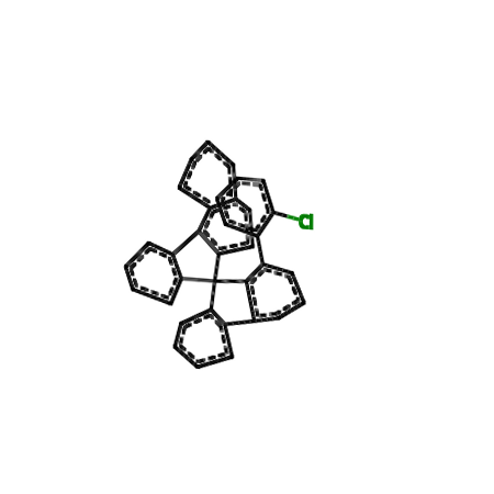 Clc1ccccc1-c1cccc2c1C1(c3ccccc3-2)c2ccccc2-c2c1ccc1ccccc21